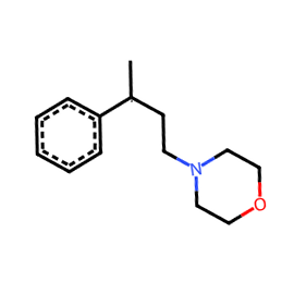 C[C](CCN1CCOCC1)c1ccccc1